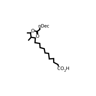 CCCCCCCCCCCC(=O)OC(C)C(C)CCCCCCCCCCCC(=O)O